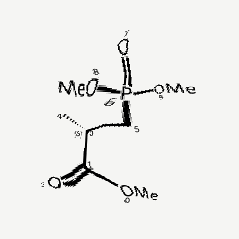 COC(=O)[C@H](C)CP(=O)(OC)OC